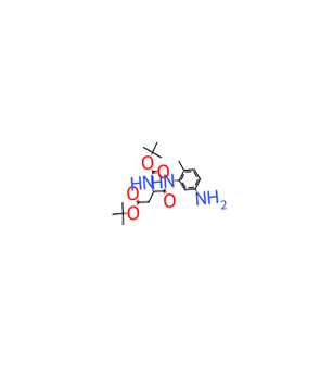 Cc1ccc(N)cc1NC(=O)C(CC(=O)OC(C)(C)C)NC(=O)OC(C)(C)C